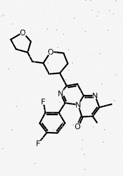 Cc1nc2cc(C3CCOC(CC4CCOC4)C3)nc(-c3ccc(F)cc3F)n2c(=O)c1C